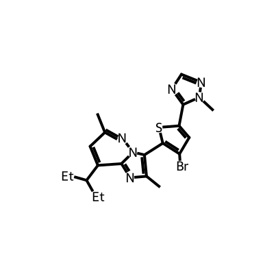 CCC(CC)c1cc(C)nn2c(-c3sc(-c4ncnn4C)cc3Br)c(C)nc12